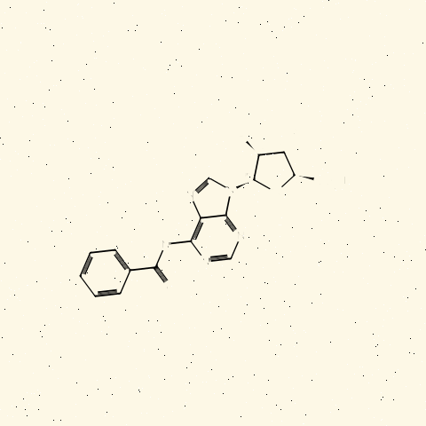 C[C@H]1[C@H](F)[C@H](n2cnc3c(NC(=O)c4ccccc4)ncnc32)O[C@@H]1C(=O)O